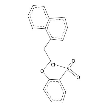 O=S(=O)(Cl)c1ccccc1OCCc1cccc2ccccc12